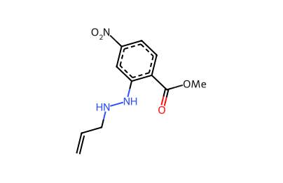 C=CCNNc1cc([N+](=O)[O-])ccc1C(=O)OC